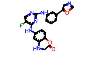 O=C1CNc2cc(Nc3nc(Nc4cccc(-c5cnco5)c4)ncc3F)ccc2O1